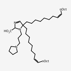 CCCCCCCC/C=C\CCCCCCCC1(CCCCCCC/C=C\CCCCCCCC)C=NC(C(=O)O)N1CCCN1CCCC1